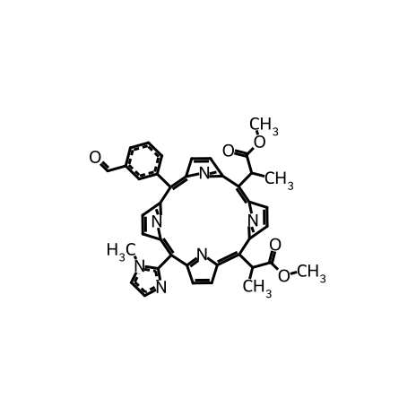 COC(=O)C(C)C1=C2C=CC(=N2)C(c2nccn2C)=C2C=CC(=N2)C(c2cccc(C=O)c2)=C2C=CC(=N2)C(C(C)C(=O)OC)=C2C=CC1=N2